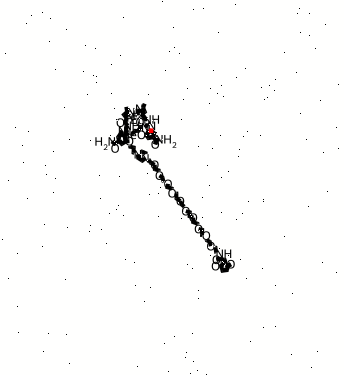 CCn1nc(C)cc1C(=O)Nc1nc2cc(C(N)=O)cc(OC)c2n1CCCCn1c(NC(=O)c2cc(C)nn2CC)nc2cc(C(N)=O)cc(OCCCN3CCN(CCOCCOCCOCCOCCOCCOCCOCCOCCOCCOCCNC(=O)CN4C(=O)C=CC4=O)CC3)c21